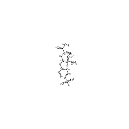 CS(=O)(=O)c1ccc(CN(CC(N)C(=O)O)S(N)(=O)=O)cc1